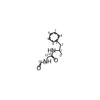 CC(Cc1ccccc1)NC(=O)CNC=O